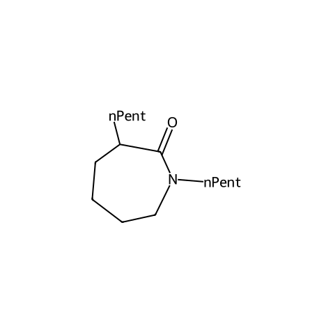 CCCCCC1CCCCN(CCCCC)C1=O